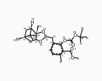 COC(=O)c1c(C)ccc(CB2OC3C[C@@H]4C[C@@H](C4(C)C)[C@]3(C)O2)c1OC(=O)OC(C)(C)C